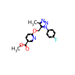 COC(=O)c1ccc(OCc2c(C)nnn2-c2ccc(F)cc2)nc1